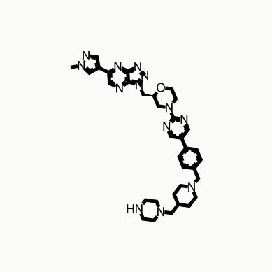 Cn1cc(-c2cnc3c(nnn3C[C@@H]3CN(c4ncc(-c5ccc(CN6CCC(CN7CCNCC7)CC6)cc5)cn4)CCO3)n2)cn1